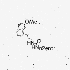 CCCCCNC(=O)NCCCc1cccc2ccc(OC)cc12